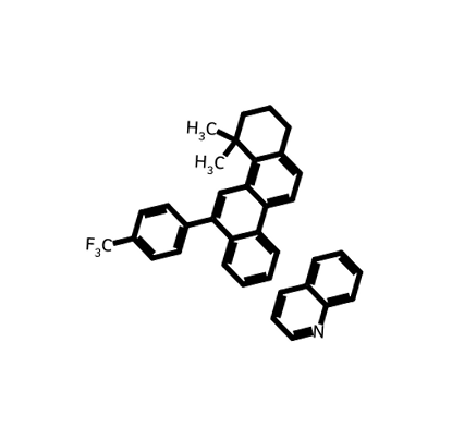 CC1(C)CCCc2ccc3c(cc(-c4ccc(C(F)(F)F)cc4)c4ccccc43)c21.c1ccc2ncccc2c1